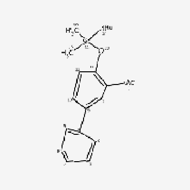 CC(=O)c1cc(-c2ccccc2)ccc1O[Si](C)(C)C(C)(C)C